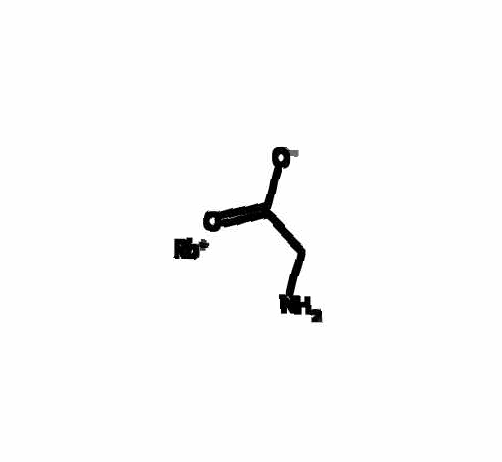 NCC(=O)[O-].[Rb+]